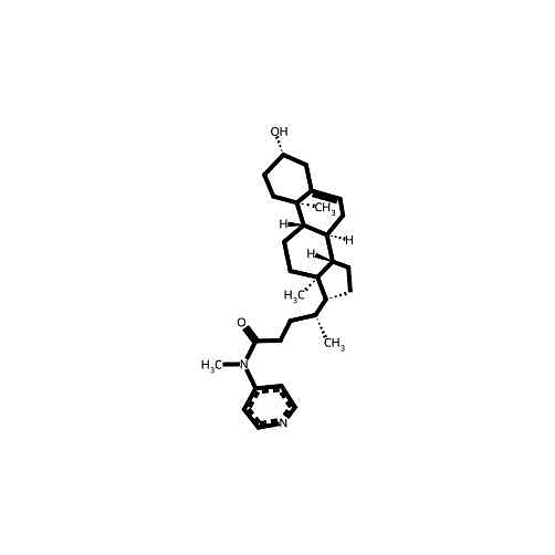 C[C@H](CCC(=O)N(C)c1ccncc1)[C@H]1CC[C@H]2[C@@H]3CC=C4C[C@@H](O)CC[C@]4(C)[C@H]3CC[C@]12C